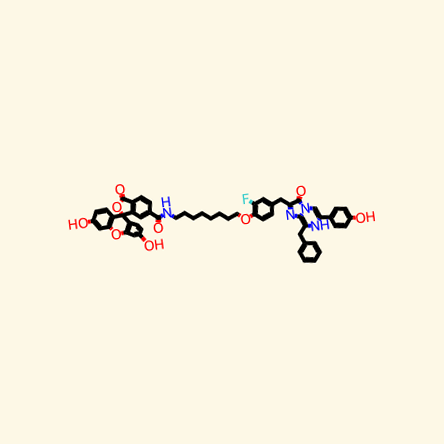 O=C(NCCCCCCCCOc1ccc(Cc2nc3c(Cc4ccccc4)[nH]c(-c4ccc(O)cc4)cn-3c2=O)cc1F)c1ccc2c(c1)C1(OC2=O)c2ccc(O)cc2Oc2cc(O)ccc21